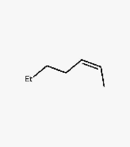 [CH2]CCC/C=C\C